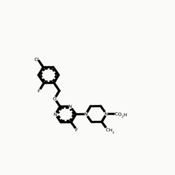 CC1CN(c2nc(OCc3ccc(Cl)cc3F)ncc2F)CCN1C(=O)O